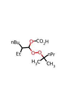 CCCCC(CC)C(OOC(C)(C)CCC)OC(=O)O